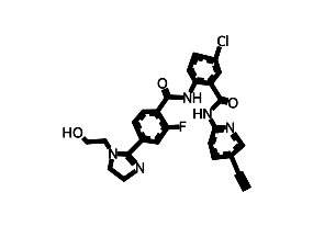 C#Cc1ccc(NC(=O)c2cc(Cl)ccc2NC(=O)c2ccc(C3=NCCN3CCO)cc2F)nc1